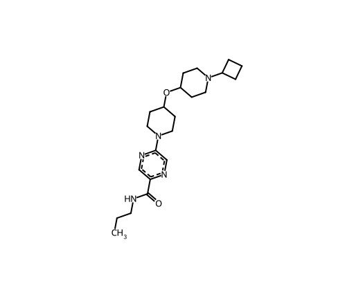 CCCNC(=O)c1cnc(N2CCC(OC3CCN(C4CCC4)CC3)CC2)cn1